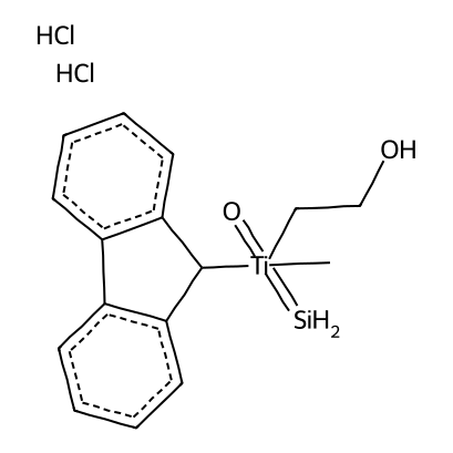 Cl.Cl.[CH3][Ti](=[O])(=[SiH2])([CH2]CO)[CH]1c2ccccc2-c2ccccc21